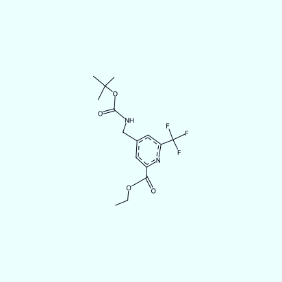 CCOC(=O)c1cc(CNC(=O)OC(C)(C)C)cc(C(F)(F)F)n1